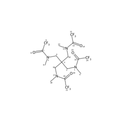 CN(CC(CN(C)C(=O)C(F)(F)F)(CN(C)C(=O)C(F)(F)F)CN(C)C(=O)C(F)(F)F)C(=O)C(F)(F)F